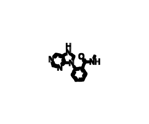 CNC(=O)c1ccccc1N1CNc2cncnc21